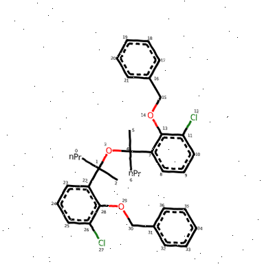 CCCC(C)(OC(C)(CCC)c1cccc(Cl)c1OCc1ccccc1)c1cccc(Cl)c1OCc1ccccc1